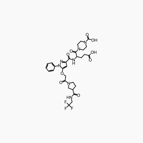 O=C(O)CCC(NC(=O)c1cc(OCC(=O)N2CCC(C(=O)NCC(F)(F)F)C2)n(-c2ccccc2)n1)C(=O)N1CCN(C(=O)O)CC1